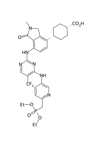 CCOP(=O)(Cc1ccc(Nc2nc(Nc3ccc([C@H]4CC[C@@H](C(=O)O)CC4)c4c3C(=O)N(C)C4)ncc2C(F)(F)F)cn1)OCC